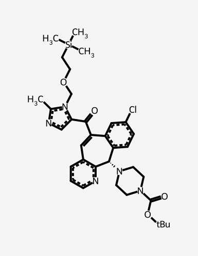 Cc1ncc(C(=O)C2=Cc3cccnc3[C@@H](N3CCN(C(=O)OC(C)(C)C)CC3)c3ccc(Cl)cc32)n1COCC[Si](C)(C)C